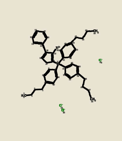 CCCCc1ccc([Si](C2=[C]([Ti+3])C(c3ccccc3)=CC2)(c2ccc(CCCC)cc2)c2ccc(CCCC)cc2)cc1.[Cl-].[Cl-].[Cl-]